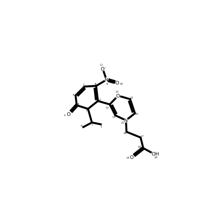 CC(C)C1C(=O)C=CC([N+](=O)[O-])=C1C1=CN(CCC(=O)O)C=CO1